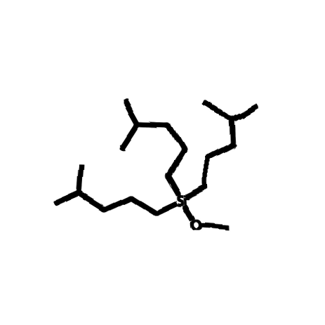 CO[Si](CCCC(C)C)(CCCC(C)C)CCCC(C)C